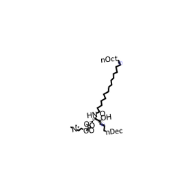 CCCCCCCC/C=C\CCCCCCCCCCCCCC(=O)N[C@@H](COP(=O)([O-])OCC[N+](C)(C)C)[C@H](O)/C=C/CCCCCCCCCCC